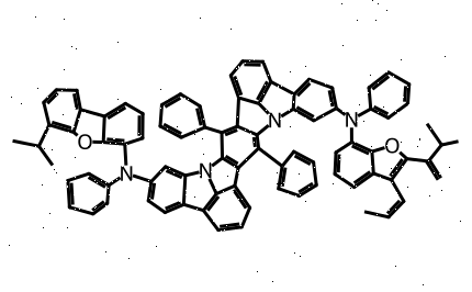 C=C(c1oc2c(N(c3ccccc3)c3ccc4c5cccc6c7c(-c8ccccc8)c8c(c(-c9ccccc9)c7n(c4c3)c56)c3cccc4c5ccc(N(c6ccccc6)c6cccc7c6oc6c(C(C)C)cccc67)cc5n8c43)cccc2c1/C=C\C)C(C)C